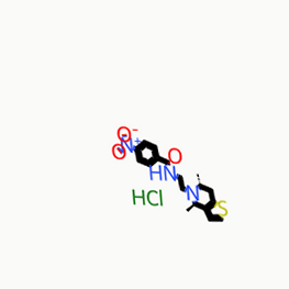 C[C@@H]1Cc2sccc2[C@@H](C)N1CCNC(=O)c1ccc([N+](=O)[O-])cc1.Cl